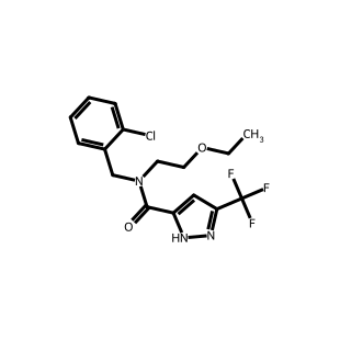 CCOCCN(Cc1ccccc1Cl)C(=O)c1cc(C(F)(F)F)n[nH]1